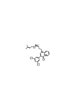 CC(C)=CCO/N=C\CCn1cc(-c2cc(Cl)cc(Cl)c2)c(=O)[n+]2ccccc12